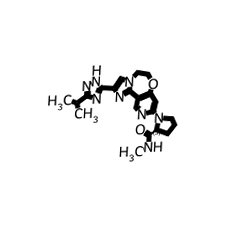 CNC(=O)[C@@H]1CCCN1c1cc2c(cn1)-c1nc(-c3nc(C(C)C)n[nH]3)cn1CCO2